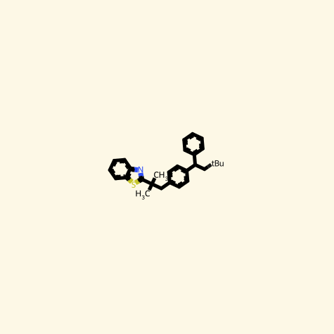 CC(C)(C)CC(c1ccccc1)c1ccc(CC(C)(C)c2nc3ccccc3s2)cc1